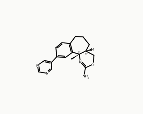 C[C@]12N=C(N)SC[C@H]1CCCc1ccc(-c3cncnc3)cc12